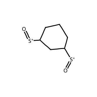 O=[S+]C1CCCC([S+]=O)C1